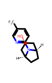 O[C@@H]1C[C@H]2CC[C@@H](C1)N2c1ccc(C(F)(F)F)cn1